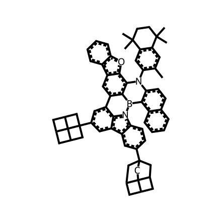 Cc1cc2c(cc1N1c3ccc4ccccc4c3B3c4c(cc5c(oc6ccccc65)c41)-c1cc(C45CC6CC7CC(C4)C765)cc4c5cc(C67CC8CC9CC(C6)C98C7)ccc5n3c14)C(C)(C)CCC2(C)C